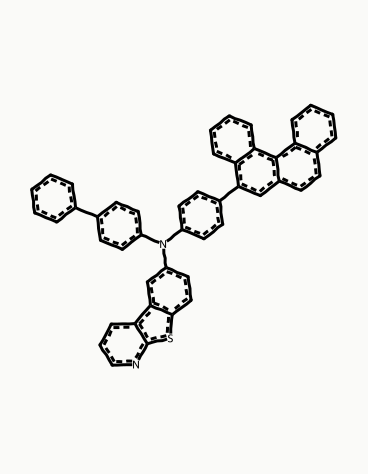 c1ccc(-c2ccc(N(c3ccc(-c4cc5ccc6ccccc6c5c5ccccc45)cc3)c3ccc4sc5ncccc5c4c3)cc2)cc1